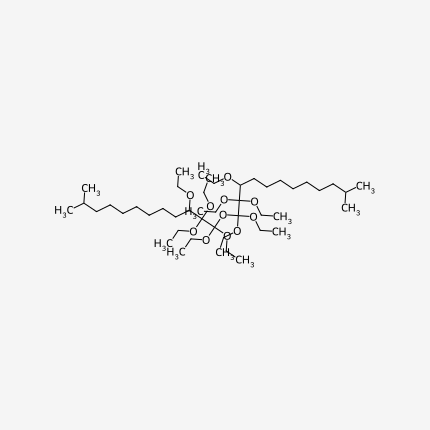 CCOC(CCCCCCCC(C)C)C(OCC)(OCC)C(OCC)(OCC)OC(OCC)(OCC)C(OCC)(OCC)C(CCCCCCCC(C)C)OCC